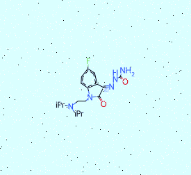 CC(C)N(CCN1C(=O)/C(=N/NC(N)=O)c2cc(F)ccc21)C(C)C